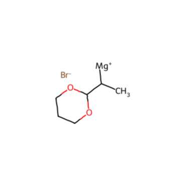 C[CH]([Mg+])C1OCCCO1.[Br-]